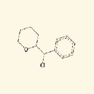 ClC(c1ccccc1)C1CCCCO1